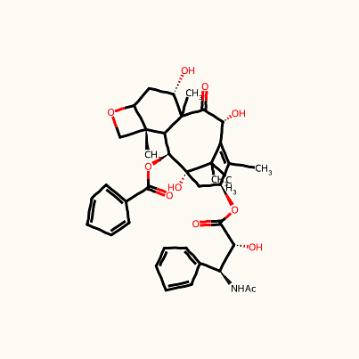 CC(=O)N[C@@H](c1ccccc1)[C@@H](O)C(=O)O[C@H]1C[C@@]2(O)[C@@H](OC(=O)c3ccccc3)C3C(C)(C(=O)[C@H](O)C(=C1C)C2(C)C)[C@@H](O)CC1OC[C@]13C